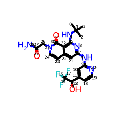 CC(C)(C)Nc1nc(Nc2cc(C(O)C(F)(F)F)ccn2)cc2ccn(CC(N)=O)c(=O)c12